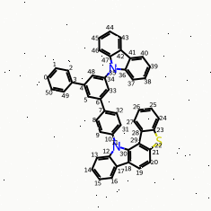 c1ccc(-c2cc(-c3ccc(-n4c5ccccc5c5ccc6sc7ccccc7c6c54)cc3)cc(-n3c4ccccc4c4ccccc43)c2)cc1